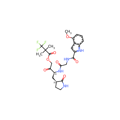 COc1cccc2[nH]c(C(=O)NCC(=O)N[C@@H](C[C@@H]3CCNC3=O)C(=O)COC(=O)C(C)(C)C(F)(F)F)cc12